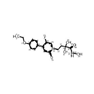 CCOc1ccc(-c2cc(=O)n(CCC(C)(C)C(=O)NO)cc2F)cc1